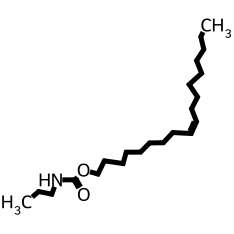 CCCCCCCC/C=C\CCCCCCCCOC(=O)NCCC